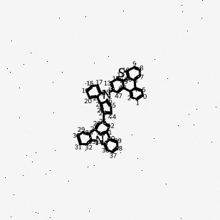 c1ccc2c(c1)c1cccc3sc4cc(-n5c6ccccc6c6cc(-c7cc8c9ccccc9n9c%10ccccc%10c(c7)c89)ccc65)cc2c4c31